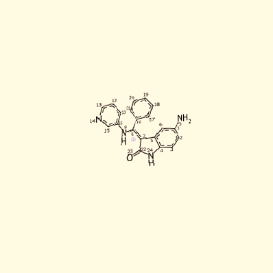 Nc1ccc2c(c1)/C(=C(/Nc1cccnc1)c1ccccc1)C(=O)N2